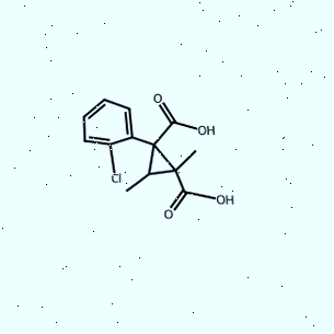 CC1C(C)(C(=O)O)C1(C(=O)O)c1ccccc1Cl